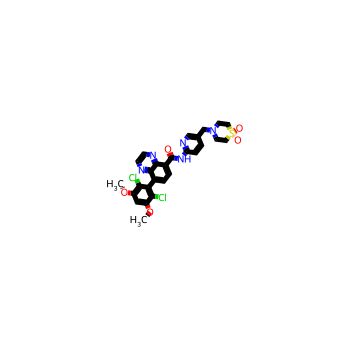 COc1cc(OC)c(Cl)c(-c2ccc(C(=O)Nc3ccc(CN4CCS(=O)(=O)CC4)cn3)c3nccnc23)c1Cl